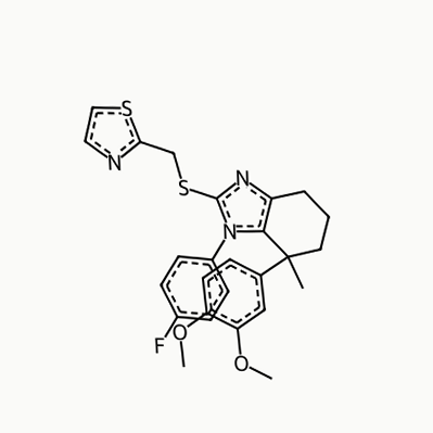 COc1ccc(C2(C)CCCc3nc(SCc4nccs4)n(-c4ccc(F)cc4)c32)cc1OC